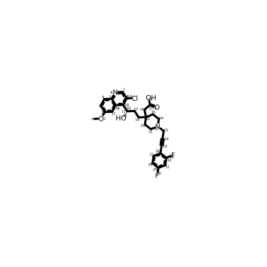 COc1ccc2ncc(Cl)c([C@@H](O)CCC3(CC(=O)O)CCN(CC#Cc4ccc(F)cc4F)CC3)c2c1